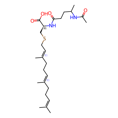 CC(=O)NC(C)CCC(=O)N[C@@H](CSC/C=C(\C)CC/C=C(\C)CCC=C(C)C)C(=O)O